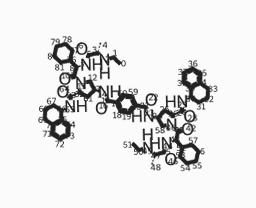 CCN[C@@H](C)C(=O)N[C@H](C(=O)N1C[C@@H](NC(=O)c2ccc(C(=O)N[C@H]3C[C@@H](C(=O)N[C@@H]4CCCc5ccccc54)N(C(=O)[C@@H](NC(=O)[C@H](C)NCC)C4CCCCC4)C3)cc2)C[C@H]1C(=O)N[C@@H]1CCCc2ccccc21)C1CCCCC1